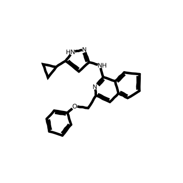 c1ccc(OCc2cc3ccccc3c(Nc3cc(C4CC4)[nH]n3)n2)cc1